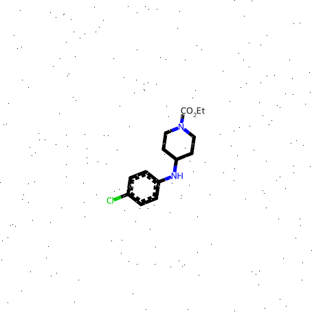 CCOC(=O)N1CCC(Nc2ccc(Cl)cc2)CC1